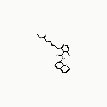 COC(=O)CCC=CCc1cccc(C)c1C(=O)Nc1cccc2cccnc12